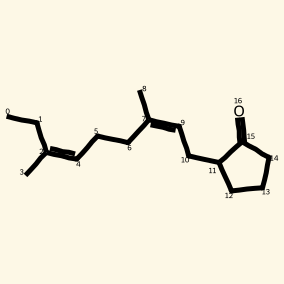 CCC(C)=CCCC(C)=CCC1CCCC1=O